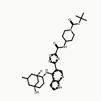 CC1C[C@H]2C[C@](O)(CC[C@@H]2Nc2c(-c3noc(C(=O)NC4CCN(C(=O)OC(C)(C)C)CC4)n3)cnc3[nH]ccc23)C1